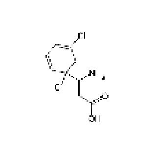 NC(CC(=O)O)C1(Cl)C=CC=C(Cl)C1